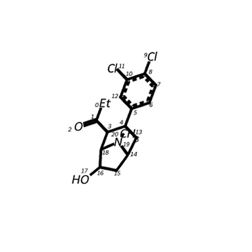 CCC(=O)C1C(c2ccc(Cl)c(Cl)c2)CC2CC(O)C1N2C